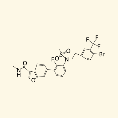 CNC(=O)c1coc2cc(-c3cccc(N(CCc4ccc(Br)c(C(F)(F)F)c4)S(C)(=O)=O)c3F)ccc12